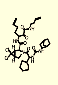 C=CCCNC(=O)C(=O)C(CCC=C)NC(=O)[C@@H]1[C@@H]2[C@H](CN1C(=O)[C@@H](NC(=O)NC1CC3CCC1C3)C1CCCCC1)C2(Cl)Cl